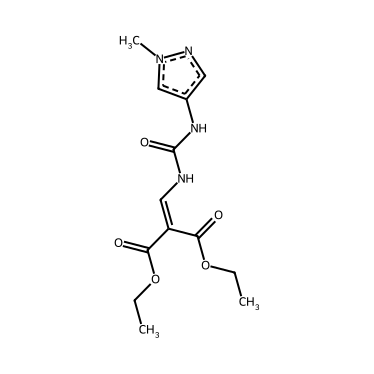 CCOC(=O)C(=CNC(=O)Nc1cnn(C)c1)C(=O)OCC